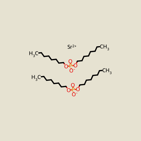 CCCCCCCCOP(=O)([O-])OCCCCCCCC.CCCCCCCCOP(=O)([O-])OCCCCCCCC.[Sr+2]